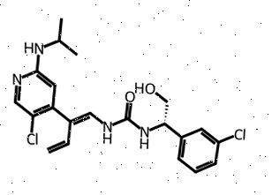 C=C/C(=C\NC(=O)N[C@H](CO)c1cccc(Cl)c1)c1cc(NC(C)C)ncc1Cl